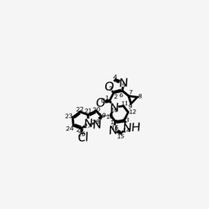 O=C(c1ocnc1C1CC1)N1CCc2[nH]cnc2[C@@H]1c1cc2cccc(Cl)n2n1